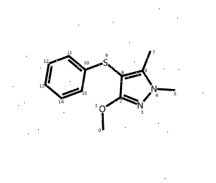 COc1nn(C)c(C)c1Sc1ccccc1